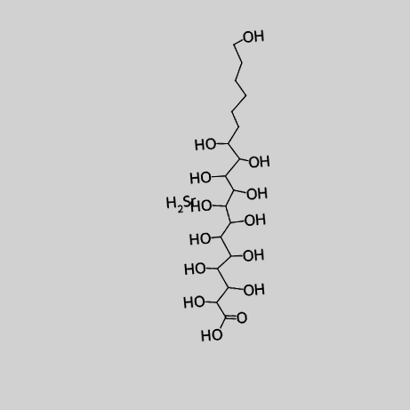 O=C(O)C(O)C(O)C(O)C(O)C(O)C(O)C(O)C(O)C(O)C(O)C(O)CCCCCCO.[SrH2]